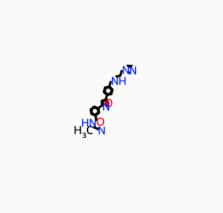 CC(C#N)NC(=O)c1cccc(-c2cc(-c3ccc(CNCCCn4ccnc4)cc3)on2)c1